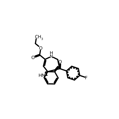 CCOC(=O)C1=CC23C(=CCN1)C=CC=C2NCC3C(=O)c1ccc(F)cc1